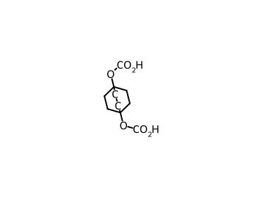 O=C(O)OC12CCC(OC(=O)O)(CC1)CC2